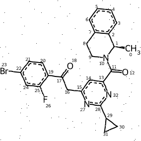 C[C@@H]1c2ccccc2CCN1C(=O)c1cc(CC(=O)c2ccc(Br)cc2F)nc(C2CC2)n1